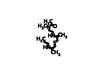 C=C(CSCC(=C)NCCN(C)C(C)=O)NCCC